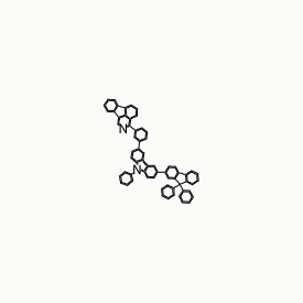 c1ccc(-n2c3ccc(-c4cccc(-c5ncc6c7c(cccc57)-c5ccccc5-6)c4)cc3c3cc(-c4ccc5c(c4)C(c4ccccc4)(c4ccccc4)c4ccccc4-5)ccc32)cc1